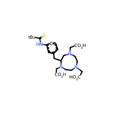 CC(C)(C)C(=S)Nc1cccc(CC2CN(CC(=O)O)CCN(CC(=O)O)CCN2CC(=O)O)c1